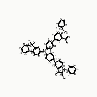 C=C(C)c1cc(-c2ccc3c(c2)c2cc(-c4ccc5c(c4)c(C)c(C)n5-c4ccccc4)ccc2n3-c2ccc3c(c2)C(C)(C)c2ccccc2-3)ccc1N(C)c1ccccc1